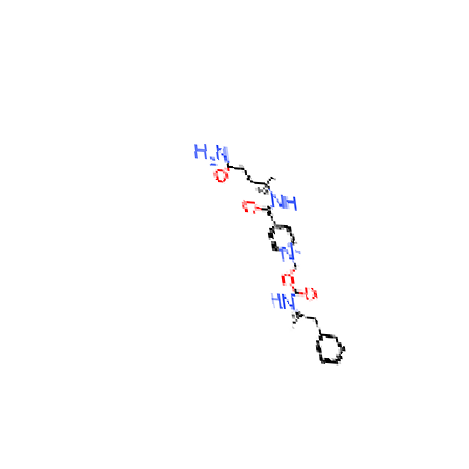 C[C@H](CCC(N)=O)NC(=O)c1cc[n+](COC(=O)N[C@@H](C)Cc2ccccc2)cc1